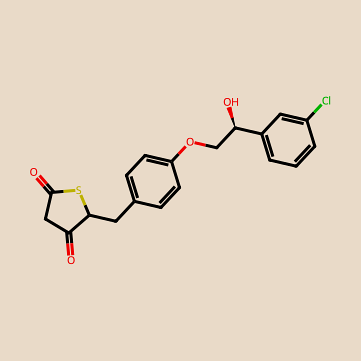 O=C1CC(=O)C(Cc2ccc(OC[C@@H](O)c3cccc(Cl)c3)cc2)S1